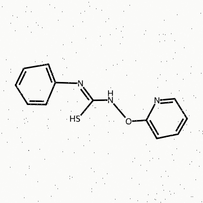 SC(=Nc1ccccc1)NOc1ccccn1